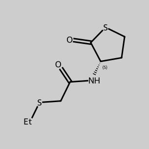 CCSCC(=O)N[C@H]1CCSC1=O